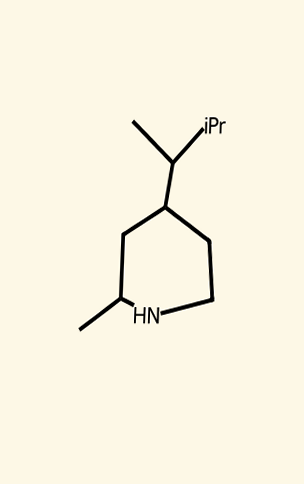 CC1CC(C(C)C(C)C)CCN1